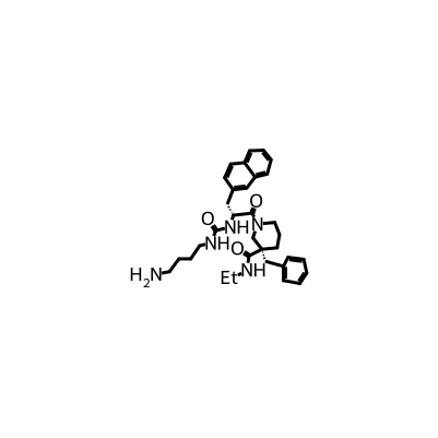 CCNC(=O)[C@]1(Cc2ccccc2)CCCN(C(=O)[C@@H](Cc2ccc3ccccc3c2)NC(=O)NCCCCN)C1